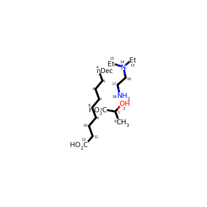 CC(O)C(=O)O.CCCCCCCCCCCCCCCCCC(=O)O.CCN(CC)CCN